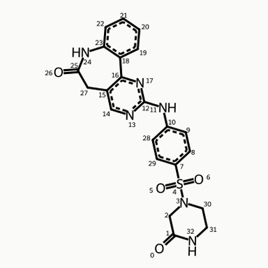 O=C1CN(S(=O)(=O)c2ccc(Nc3ncc4c(n3)-c3ccccc3NC(=O)C4)cc2)CCN1